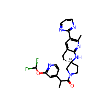 Cc1nc2c(cc1-c1ncccn1)CC[C@@]1(CCN(C(=O)C(C)c3ccnc(OC(F)F)c3)C1)N2